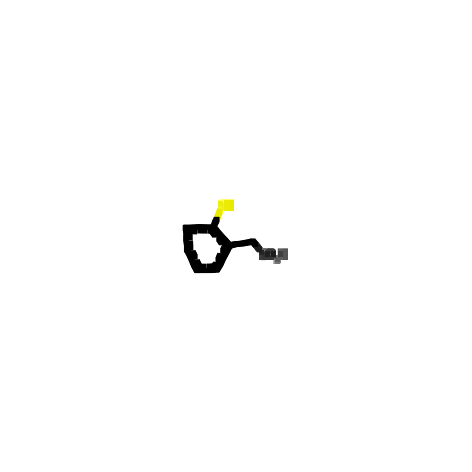 O=S(=O)(O)Cc1ccccc1S